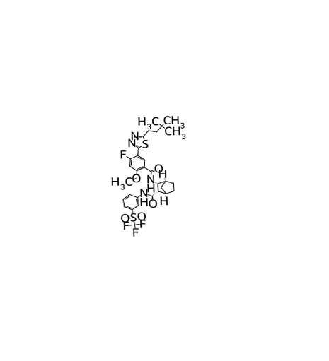 COc1cc(F)c(-c2nnc(CCC(C)(C)C)s2)cc1C(=O)N[C@@H]1[C@H]2CC[C@H](C2)[C@@H]1C(=O)Nc1cccc(S(=O)(=O)C(F)(F)F)c1